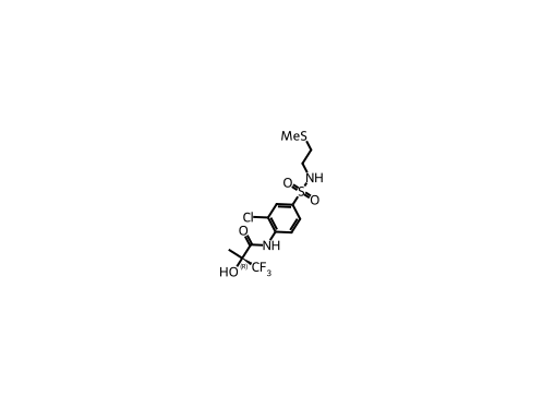 CSCCNS(=O)(=O)c1ccc(NC(=O)[C@@](C)(O)C(F)(F)F)c(Cl)c1